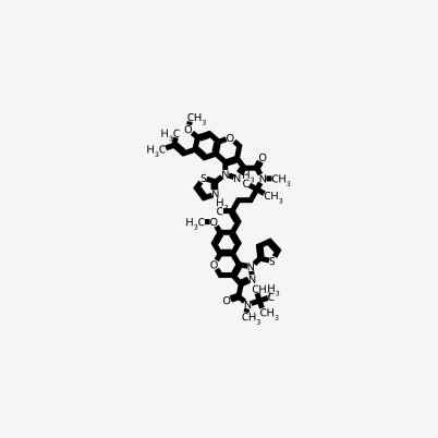 COc1cc2c(cc1C=C(C)C)-c1c(c(C(=O)N(C)C(C)(C)CC/C(C)=C/c3cc4c(cc3OC)OCc3c(C(=O)N(C)C(C)(C)C)nn(-c5cccs5)c3-4)nn1-c1nccs1)CO2